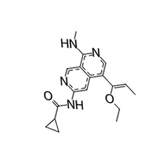 CC=C(OCC)c1cnc(NC)c2cnc(NC(=O)C3CC3)cc12